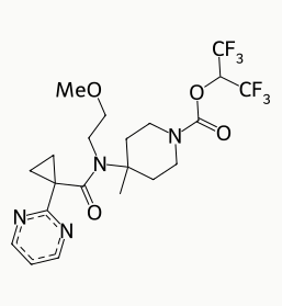 COCCN(C(=O)C1(c2ncccn2)CC1)C1(C)CCN(C(=O)OC(C(F)(F)F)C(F)(F)F)CC1